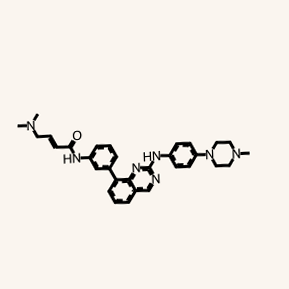 CN(C)CC=CC(=O)Nc1cccc(-c2cccc3cnc(Nc4ccc(N5CCN(C)CC5)cc4)nc23)c1